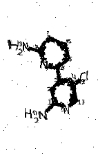 Nc1cc(-c2cccc(N)n2)c(Cl)cn1